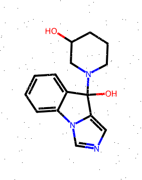 OC1CCCN(C2(O)c3ccccc3-n3cncc32)C1